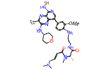 CCc1nc2c(NS)ncc(-c3ccc(NCCNC(=O)[C@H](C)N(C)C(=O)/C=C/CN(C)C)c(OC)c3)c2nc1NC1CCOCC1